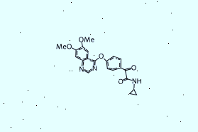 COc1cc2ncnc(Oc3ccc(C(=O)C(=O)NC4CC4)cc3)c2cc1OC